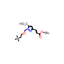 CC(C)(C)OC(=O)C=Cc1cc(C(=O)O)n(COCC[Si](C)(C)C)n1